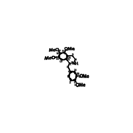 COc1ccc(CC2NCCc3c2cc(OC)c(OC)c3OC)cc1OC